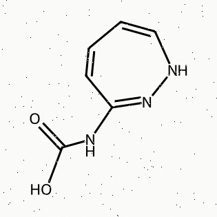 O=C(O)NC1=NNC=CC=C1